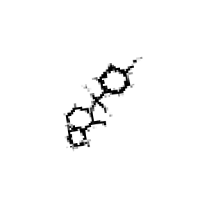 CC1c2nncn2CCN1C(F)(F)c1ccc(F)cc1